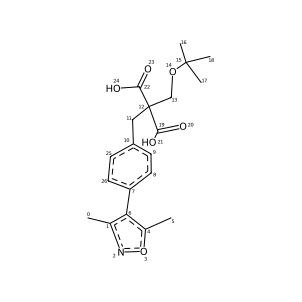 Cc1noc(C)c1-c1ccc(CC(COC(C)(C)C)(C(=O)O)C(=O)O)cc1